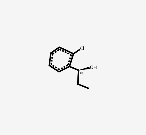 C[CH][C@H](O)c1ccccc1Cl